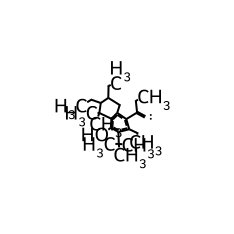 [C]=C(CC)c1c(CC)c(C(C)(C)C)c(O)c2c1CC(CC)C(CC)C2(C)C